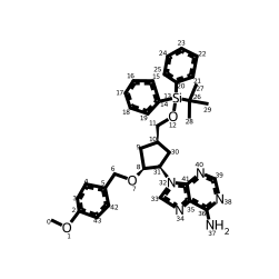 COc1ccc(CO[C@H]2C[C@@H](CO[Si](c3ccccc3)(c3ccccc3)C(C)(C)C)C[C@H]2n2cnc3c(N)ncnc32)cc1